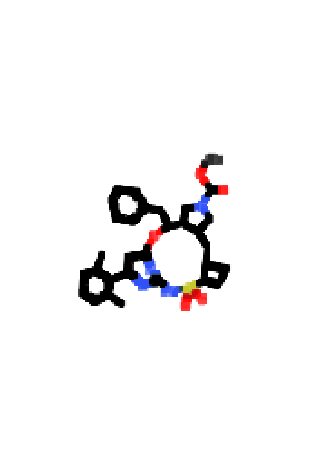 Cc1cccc(C)c1-c1cc2nc(n1)NS(=O)(=O)C1=CC=C1CC1CN(C(=O)OC(C)(C)C)CC1C(Cc1ccccc1)O2